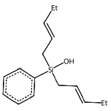 CCC=CC[Si](O)(CC=CCC)c1ccccc1